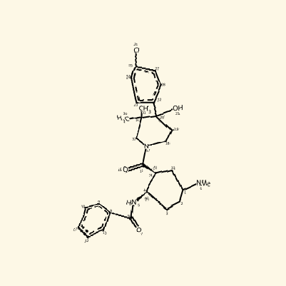 CNC1CC[C@@H](NC(=O)c2ccccc2)[C@@H](C(=O)N2CCC(O)(c3ccc(Cl)cc3)C(C)(C)C2)C1